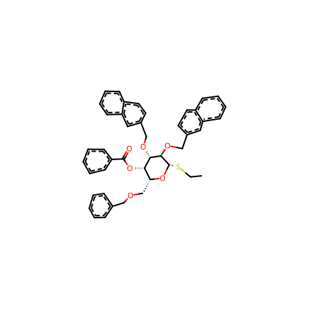 CCS[C@@H]1O[C@H](COCc2ccccc2)[C@H](OC(=O)c2ccccc2)[C@H](OCc2ccc3ccccc3c2)[C@H]1OCc1ccc2ccccc2c1